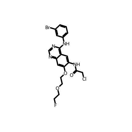 O=C(CCl)Nc1cc2c(Nc3cccc(Br)c3)ncnc2cc1OCCOCCF